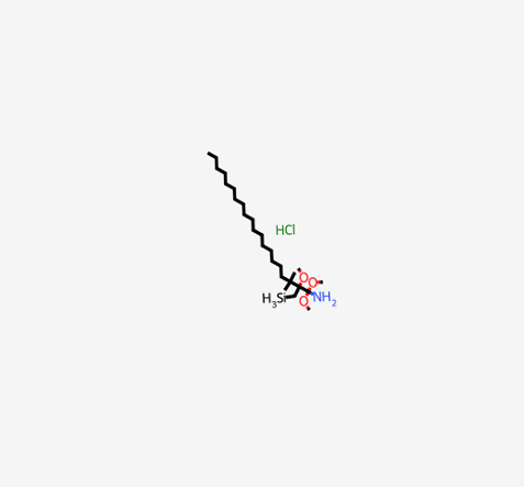 CCCCCCCCCCCCCCCCCC(C)(C)C(C[SiH3])(OC)C(N)(OC)OC.Cl